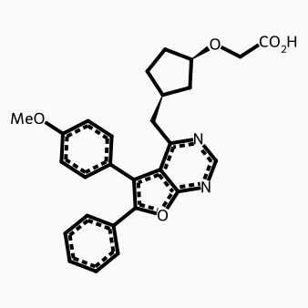 COc1ccc(-c2c(-c3ccccc3)oc3ncnc(C[C@H]4CC[C@@H](OCC(=O)O)C4)c23)cc1